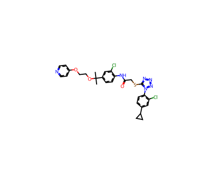 CC(C)(OCCOc1ccncc1)c1ccc(NC(=O)CSc2nnnn2-c2ccc(C3CC3)cc2Cl)c(Cl)c1